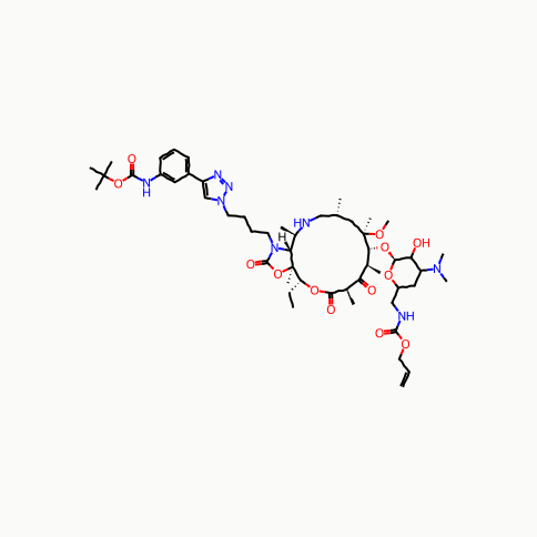 C=CCOC(=O)NCC1CC(N(C)C)C(O)[C@H](O[C@@H]2[C@@H](C)C(=O)[C@@H](C)C(=O)O[C@H](CC)[C@@]3(C)OC(=O)N(CCCCn4cc(-c5cccc(NC(=O)OC(C)(C)C)c5)nn4)[C@@H]3[C@@H](C)NC[C@H](C)C[C@@]2(C)OC)O1